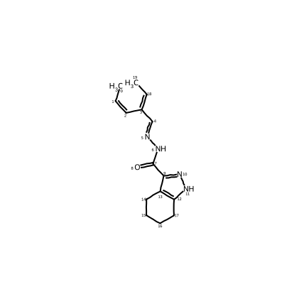 C\C=C/C(/C=N/NC(=O)c1n[nH]c2c1CCCC2)=C\C